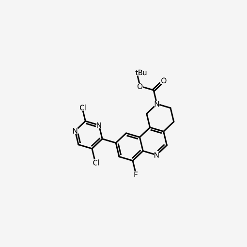 CC(C)(C)OC(=O)N1CCc2cnc3c(F)cc(-c4nc(Cl)ncc4Cl)cc3c2C1